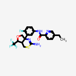 CCc1ccc(C(=O)Nc2ccc(F)c(C34COC(C(F)(F)F)C3CSC(N)=N4)c2)nc1